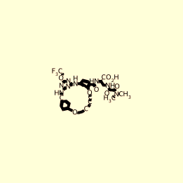 CN(C)C(=O)C(=O)NC[C@H](NC(=O)c1ccc2cc1OCCCCCCOc1ccc(cc1)CNc1nc(nc(OCC(F)(F)F)n1)N2)C(=O)O